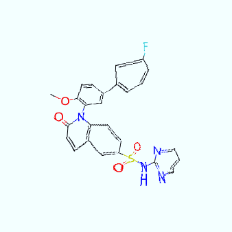 COc1ccc(-c2cccc(F)c2)cc1-n1c(=O)ccc2cc(S(=O)(=O)Nc3ncccn3)ccc21